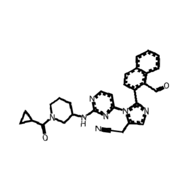 N#CCc1cnc(-c2ccc3ccccc3c2C=O)n1-c1ccnc(NC2CCCN(C(=O)C3CC3)C2)n1